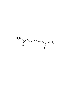 CC(=O)CCCCCC(N)=O